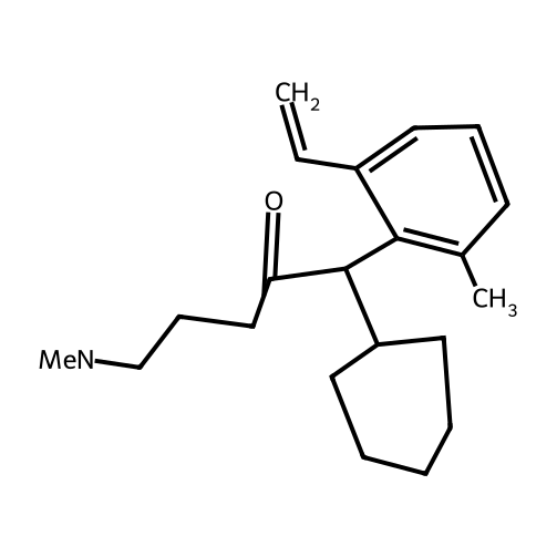 C=Cc1cccc(C)c1C(C(=O)CCCNC)C1CCCCC1